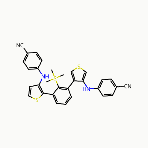 CS(C)(C)c1c(-c2cscc2Nc2ccc(C#N)cc2)cccc1-c1sccc1Nc1ccc(C#N)cc1